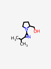 CC(C)C1N=C1N1CCCC1CO